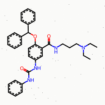 CCN(CC)CCCNC(=O)c1cc(NC(=O)Nc2ccccc2)ccc1OC(c1ccccc1)c1ccccc1